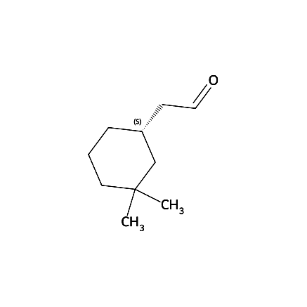 CC1(C)CCC[C@H](CC=O)C1